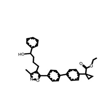 CCOC(=O)C1(c2ccc(-c3ccc(-c4onc(C)c4CCCC(O)c4ccccc4)cc3)cc2)CC1